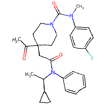 CC(=O)C1(CC(=O)N(c2ccccc2)C(C)C2CC2)CCN(C(=O)N(C)c2ccc(F)cc2)CC1